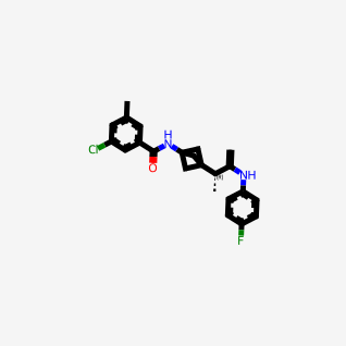 C=C(Nc1ccc(F)cc1)[C@H](C)C12CC(NC(=O)c3cc(C)cc(Cl)c3)(C1)C2